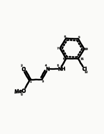 COC(=O)C=NNc1ccccc1Cl